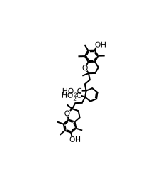 Cc1c(C)c2c(c(C)c1O)CCC(C)(CCC1(C(=O)O)CC=CCC1(CCC1(C)CCc3c(C)c(O)c(C)c(C)c3O1)C(=O)O)O2